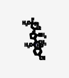 CCC(CC(C)(F)CC)N1CCC(/C(C)=C(\C)c2ccc(C#N)cc2O)=C1N